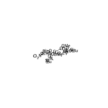 C=C1C[C@@H](CO[Si](C)(C)C(C)(C)C)N(C(=O)c2cc(OC)c(OCCCCCOc3cc(NC(=O)OC[C@@H](C)SSc4ccc([N+](=O)[O-])cn4)c(C(=O)N4CC(=C)C[C@H]4CO[Si](C)(C)C(C)(C)C)cc3OC)cc2NC(=O)O)C1